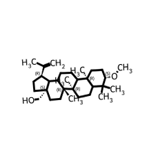 C=C(C)[C@@H]1CC[C@]2(CO)CC[C@]3(C)C(CCC4[C@@]5(C)CC[C@H](OC)C(C)(C)C5CC[C@]43C)C12